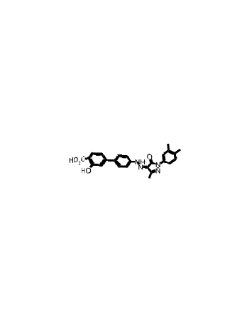 CC1=NN(c2ccc(C)c(C)c2)C(=O)C1=NNc1ccc(-c2ccc(C(=O)O)c(O)c2)cc1